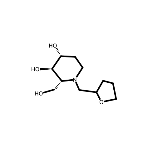 OC[C@@H]1[C@@H](O)[C@H](O)CCN1CC1CCCO1